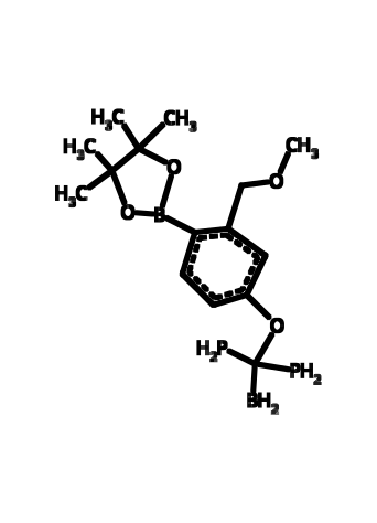 BC(P)(P)Oc1ccc(B2OC(C)(C)C(C)(C)O2)c(COC)c1